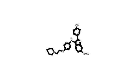 COc1ccc2c(Nc3ccc(OCCN4CCCCC4)cc3)c(-c3ccc(O)cc3)sc2c1